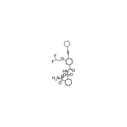 NS(=O)(=O)c1ccccc1S(=O)(=O)NC(=O)c1ccc(C#CC2CCCC2)c(OCC(F)F)c1